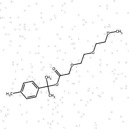 COCCOCCOCC(=O)OC(C)(C)c1ccc(C)cc1